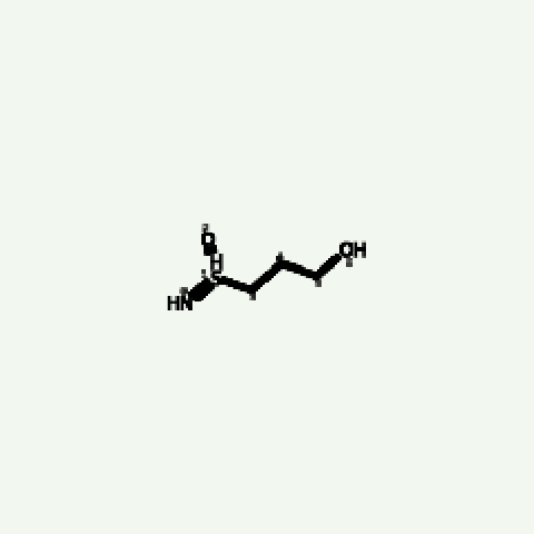 N=[SH](=O)CCCO